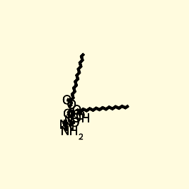 CCCCCCCCCCCCCCCC(=O)OC[C@H]1O[C@@H](n2cnc(N)nc2=O)[C@@H](O)[C@@H]1OC(=O)CCCCCCCCCCCCCCC